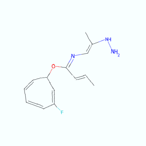 C/C=C/C(=N\C=C(/C)NN)OC1C=CC=CC(F)=C1